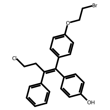 Oc1ccc(C(=C(CCCl)c2ccccc2)c2ccc(OCCBr)cc2)cc1